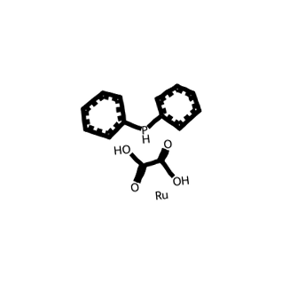 O=C(O)C(=O)O.[Ru].c1ccc(Pc2ccccc2)cc1